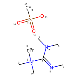 CCC[N+](C)(C)C(=NC)N(C)C.O=S(=O)([O-])C(F)(F)F